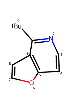 CC(C)(C)c1nccc2occc12